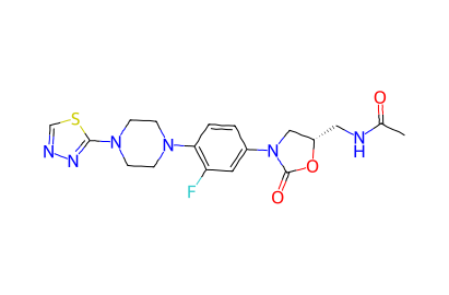 CC(=O)NC[C@H]1CN(c2ccc(N3CCN(c4nncs4)CC3)c(F)c2)C(=O)O1